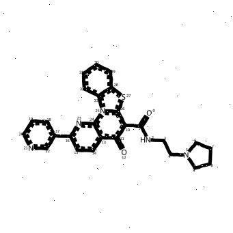 O=C(NCCN1CCCC1)c1c(=O)c2ccc(-c3cccnc3)nc2n2c1sc1ccccc12